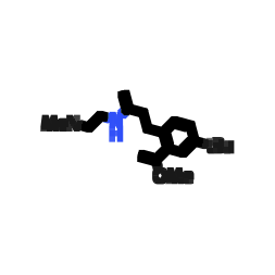 C=C(CCc1ccc(C(C)(C)C)cc1C(=C)OC)NCCNC